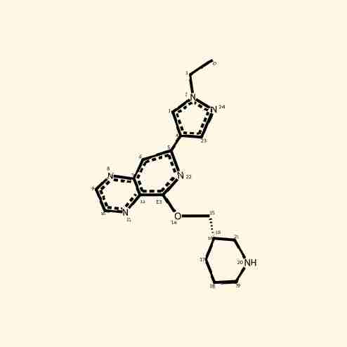 CCn1cc(-c2cc3nccnc3c(OC[C@H]3CCCNC3)n2)cn1